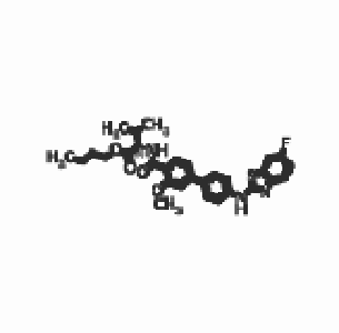 CCCCOC(=O)[C@@H](NC(=O)c1ccc(-c2ccc(Nc3nc4ccc(F)cc4s3)cc2)cc1OC)C(C)C